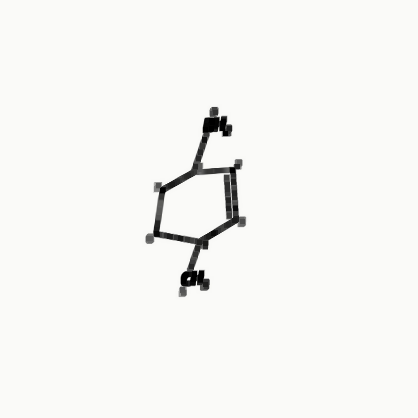 BC1C=CC(C)CC1